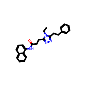 CCn1c(CCC(=O)Nc2cccc3ccccc23)nnc1CCc1ccccc1